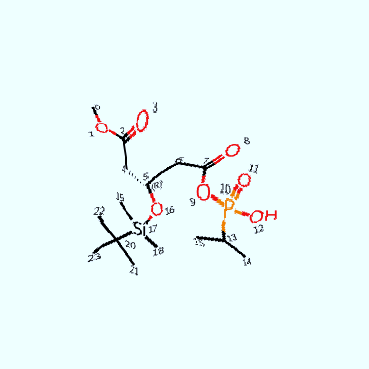 COC(=O)C[C@H](CC(=O)OP(=O)(O)C(C)C)O[Si](C)(C)C(C)(C)C